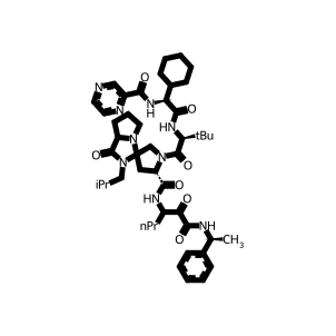 CCCC(NC(=O)[C@@H]1CC2(CN1C(=O)[C@@H](NC(=O)[C@@H](NC(=O)c1cnccn1)C1CCCCC1)C(C)(C)C)N(CC(C)C)C(=O)C1CCCN12)C(=O)C(=O)N[C@@H](C)c1ccccc1